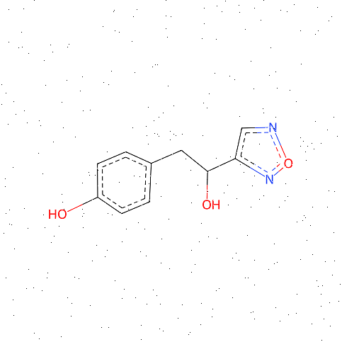 Oc1ccc(CC(O)c2cnon2)cc1